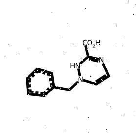 O=C(O)C1=NC=CN(Cc2ccccc2)N1